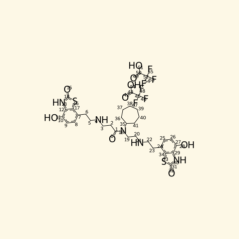 O=C(CCNCCc1ccc(O)c2[nH]c(=O)sc12)N(CCNCCc1ccc(O)c2[nH]c(=O)sc12)C1CCCCCC1.O=C(O)C(F)(F)F.O=C(O)C(F)(F)F